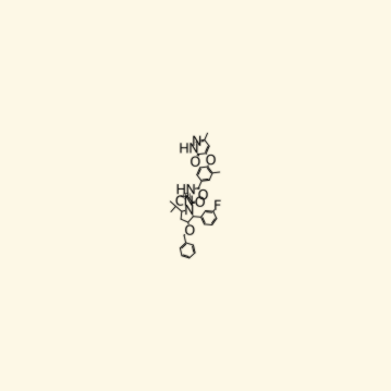 Cc1cc(Oc2ccc(C(=O)N[C@H](C)C(=O)N3C(c4cccc(F)c4)C(OCc4ccccc4)CC3C(C)(C)C#N)cc2C)c(=O)[nH]n1